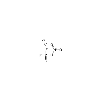 O=[N+]([O-])OP(=O)([O-])[O-].[K+].[K+]